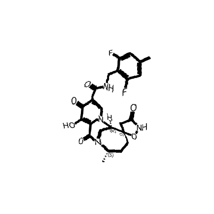 Cc1cc(F)c(CNC(=O)c2cn3c(c(O)c2=O)C(=O)N2C[C@@H]3[C@]3(CC[C@@H]2C)CC(=O)NO3)c(F)c1